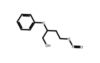 O=POCCC(CO)Oc1ccccc1